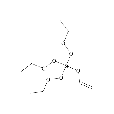 C=CO[Si](OOCC)(OOCC)OOCC